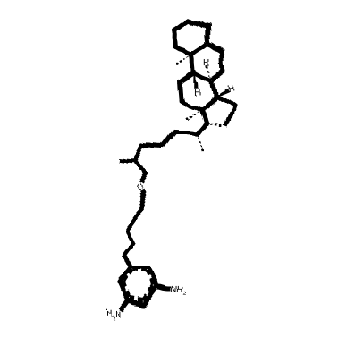 CC(CCC[C@@H](C)[C@H]1CC[C@H]2[C@@H]3CCC4CCCC[C@]4(C)[C@H]3CC[C@]12C)COCCCCc1cc(N)cc(N)c1